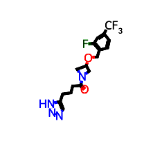 O=C(CCCc1cnn[nH]1)N1CC(OCc2ccc(C(F)(F)F)cc2F)C1